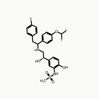 CS(=O)(=O)Nc1cc([C@@H](O)CNC(Cc2ccc(F)cc2)c2ccc(OC(F)F)cc2)ccc1O